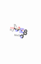 COc1cc(-c2ccc3c(c2NC(=O)N=S(N)(=O)c2cnc(C(C)(C)O)s2)CCC3)ccn1